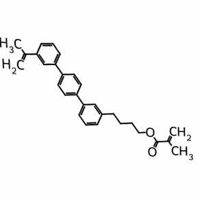 C=C(C)C(=O)OCCCCc1cccc(-c2ccc(-c3cccc(C(=C)C)c3)cc2)c1